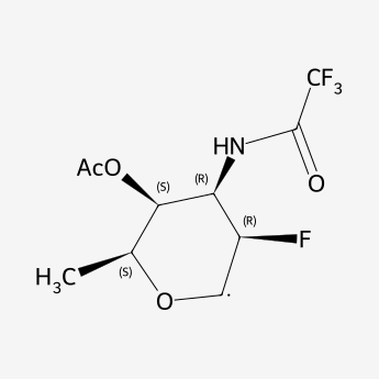 CC(=O)O[C@H]1[C@@H](NC(=O)C(F)(F)F)[C@@H](F)[CH]O[C@H]1C